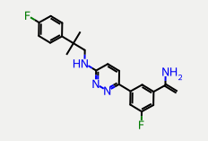 C=C(N)c1cc(F)cc(-c2ccc(NCC(C)(C)c3ccc(F)cc3)nn2)c1